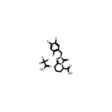 O=C(O)C(F)(F)F.O=C(O)C1CCCc2nn(Cc3cc(F)c(F)cc3F)c(=O)n21